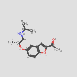 CC(=O)c1cc2cc(O[C@H](C)CNC(C)C)ccc2o1